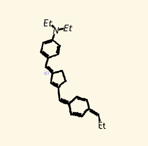 CCC=c1ccc(=CC2=C/C(=C/c3ccc(N(CC)CC)cc3)CC2)cc1